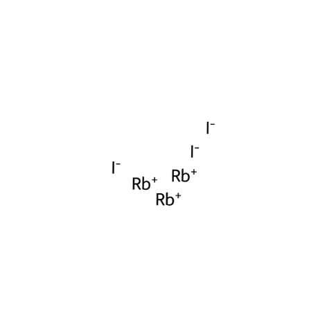 [I-].[I-].[I-].[Rb+].[Rb+].[Rb+]